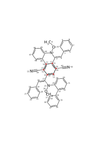 CON(C(=Cc1ccccc1)c1cc(C#N)c(C(=Cc2ccccc2)N(OC)c2ccccc2-c2ccccc2)cc1C#N)c1ccccc1-c1ccccc1